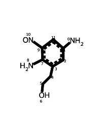 Nc1cc(CCO)c(N)c(N=O)c1